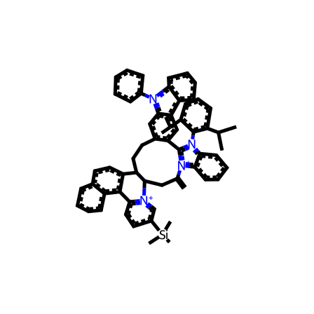 C=C1CC2C(CCc3cc4c(cc3-c3n(-c5c(C(C)C)cccc5C(C)C)c5ccccc5[n+]31)c1ccccc1n4-c1ccccc1)c1ccc3ccccc3c1-c1ccc([Si](C)(C)C)c[n+]12